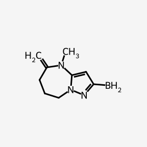 Bc1cc2n(n1)CCCC(=C)N2C